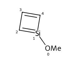 CO[Si]1=CC=C1